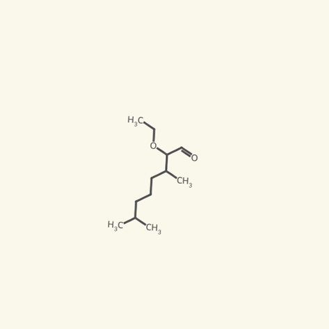 CCOC(C=O)C(C)CCCC(C)C